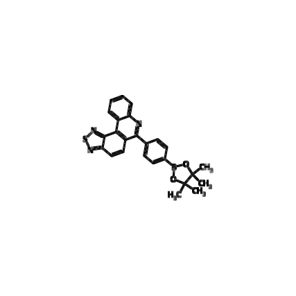 CC1(C)OB(c2ccc(-c3nc4ccccc4c4c3ccc3nsnc34)cc2)OC1(C)C